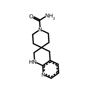 NC(=O)N1CCC2(CC1)CNc1ncccc1C2